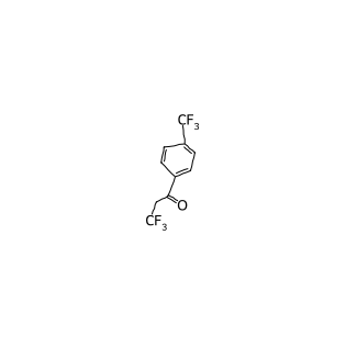 O=C(CC(F)(F)F)c1ccc(C(F)(F)F)cc1